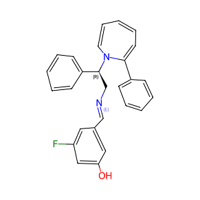 Oc1cc(F)cc(/C=N/C[C@@H](c2ccccc2)N2C=CC=CC=C2c2ccccc2)c1